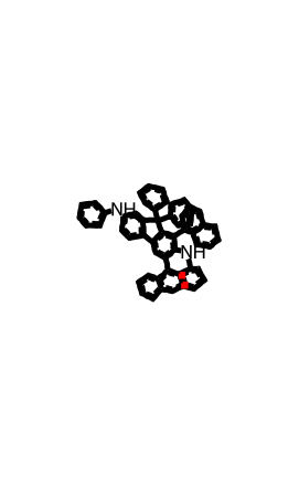 c1ccc(Nc2ccc3c(c2)C(c2ccccc2)(c2ccccc2)c2c-3cc(-c3cccc4ccccc34)c(Nc3ccccc3)c2-c2cccc3ccccc23)cc1